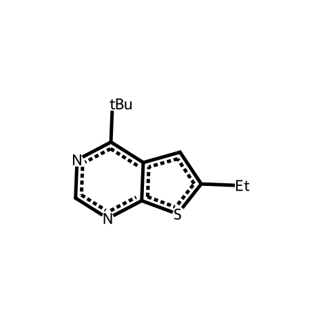 CCc1cc2c(C(C)(C)C)ncnc2s1